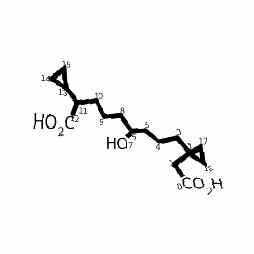 O=C(O)CC1(CCCC(O)CCCC(C(=O)O)C2CC2)CC1